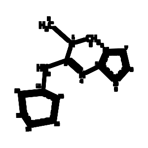 CN(C)C(=Nc1nccs1)Nc1ccccc1